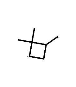 CC1C[CH]C1(C)C